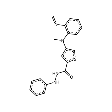 C=Nc1ccccc1N(C)c1csc(C(=O)NNc2ccccc2)c1